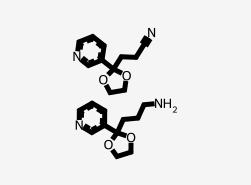 N#CCCC1(c2cccnc2)OCCO1.NCCCC1(c2cccnc2)OCCO1